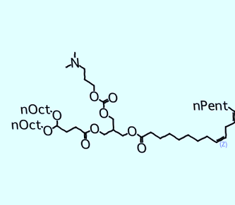 CCCCC/C=C\C/C=C\CCCCCCCC(=O)OCC(COC(=O)CCC(OCCCCCCCC)OCCCCCCCC)COC(=O)OCCCN(C)C